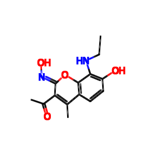 CCNc1c(O)ccc2c(C)c(C(C)=O)c(=NO)oc12